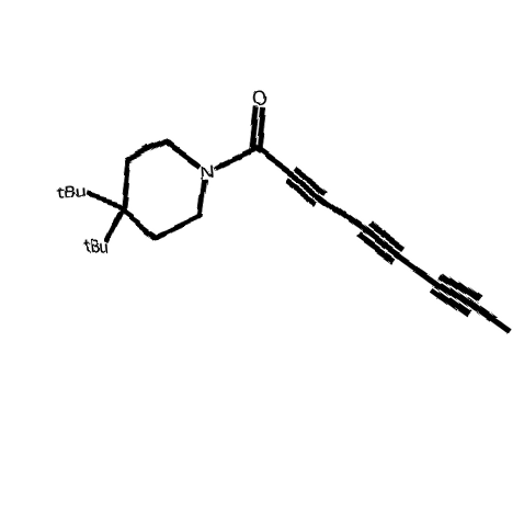 CC#CC#CC#CC(=O)N1CCC(C(C)(C)C)(C(C)(C)C)CC1